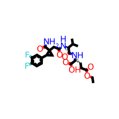 CCOC(=O)CC[C@@H](NC(=O)[C@@H](NC(=O)CC1(C(N)=O)CC1c1ccc(F)c(F)c1)C(C)C)C(=O)O